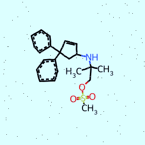 CC(C)(COS(C)(=O)=O)NC1C=CC(c2ccccc2)(c2ccccc2)C1